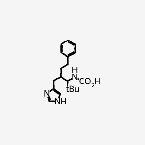 CC(C)(C)C(NC(=O)O)C(CCc1ccccc1)Cc1c[nH]cn1